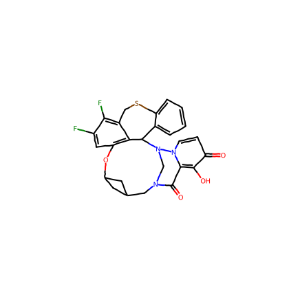 O=C1c2c(O)c(=O)ccn2N2CN1CC1CC(C1)Oc1cc(F)c(F)c3c1C2c1ccccc1SC3